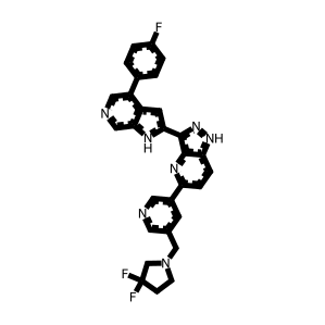 Fc1ccc(-c2cncc3[nH]c(-c4n[nH]c5ccc(-c6cncc(CN7CCC(F)(F)C7)c6)nc45)cc23)cc1